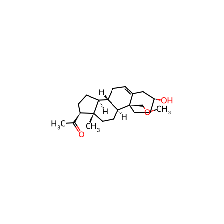 COC[C@]12CC[C@H](O)CC1=CC[C@@H]1[C@@H]2CC[C@]2(C)[C@@H](C(C)=O)CC[C@@H]12